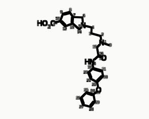 CN(CCCN1Cc2ccc(C(=O)O)cc2C1)CC(=O)Nc1ccc(Oc2ccccc2)cc1